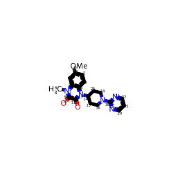 COc1ccc2c(c1)n(C)c(=O)c(=O)n2C1CCN(c2ncccn2)CC1